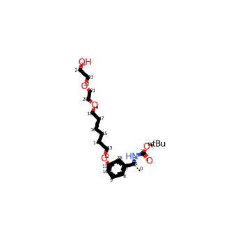 C[C@@H](NC(=O)OC(C)(C)C)c1cccc(OCCCCCCOCCOCCO)c1